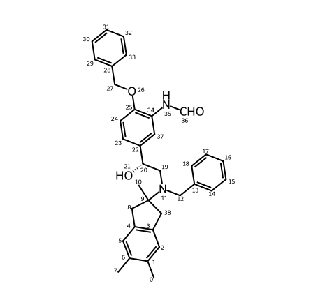 Cc1cc2c(cc1C)CC(C)(N(Cc1ccccc1)C[C@H](O)c1ccc(OCc3ccccc3)c(NC=O)c1)C2